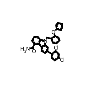 NC(=O)c1cccc2c1c1[c]cc(-c3ccc(Cl)cc3Cl)cc1n2Cc1ccccc1Oc1ccccc1